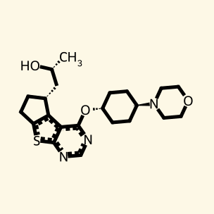 C[C@@H](O)C[C@H]1CCc2sc3ncnc(O[C@H]4CC[C@H](N5CCOCC5)CC4)c3c21